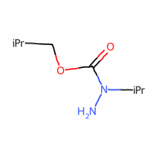 CC(C)COC(=O)N(N)C(C)C